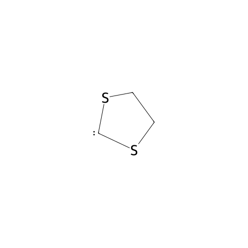 [C]1SCCS1